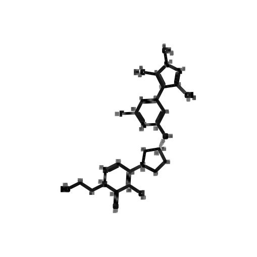 Cc1nn(C)c(C)c1-c1cc(F)nc(O[C@@H]2CCN(c3cnn(CCO)c(=O)c3Cl)C2)c1